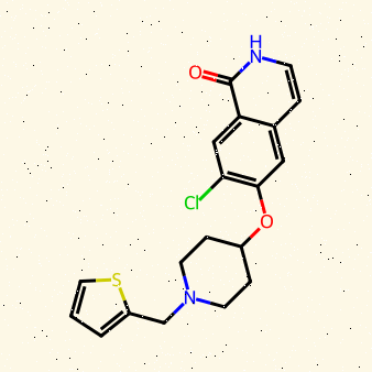 O=c1[nH]ccc2cc(OC3CCN(Cc4cccs4)CC3)c(Cl)cc12